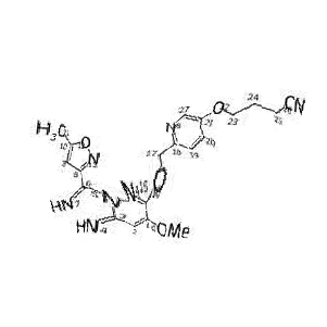 COc1cc(=N)n(C(=N)c2cc(C)on2)nc1OCc1ccc(OCCCC#N)cn1